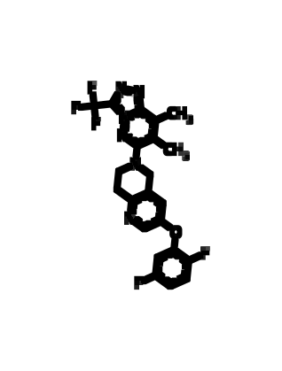 Cc1c(N2CCc3ncc(Oc4cc(F)ccc4F)cc3C2)nn2c(C(F)(F)F)nnc2c1C